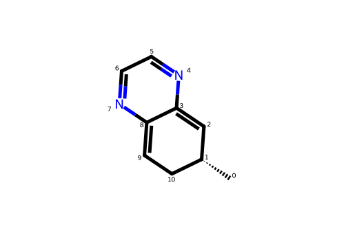 C[C@H]1C=c2nccnc2=CC1